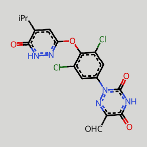 CC(C)c1cc(Oc2c(Cl)cc(-n3nc(C=O)c(=O)[nH]c3=O)cc2Cl)n[nH]c1=O